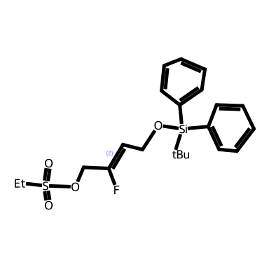 CCS(=O)(=O)OC/C(F)=C/CO[Si](c1ccccc1)(c1ccccc1)C(C)(C)C